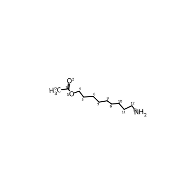 CC(=O)OCCCCCCCCCN